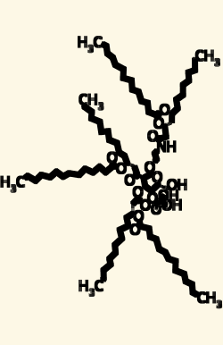 CCCCCCCCCCCCCC(=O)O[C@H](CCCCCCCCCCC)CC(=O)NCCO[C@@H]1O[C@H](CO)[C@@H](OP(=O)(O)O)[C@H](OC(=O)C[C@@H](CCCCCCCCCCC)OC(=O)CCCCCCCCCCCCC)[C@H]1C(=O)C[C@@H](CCCCCCCCCCC)OC(=O)CCCCCCCCCCCCC